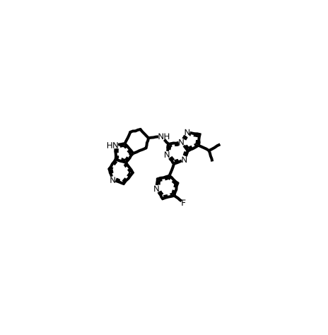 CC(C)c1cnn2c(NC3CCc4[nH]c5cnccc5c4C3)nc(-c3cncc(F)c3)nc12